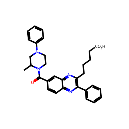 CC1CN(c2ccccc2)CCN1C(=O)c1ccc2nc(-c3ccccc3)c(CCCCC(=O)O)nc2c1